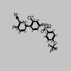 N#Cc1nc(-c2ccc(NS(=O)(=O)c3ccc(OC(F)(F)F)cc3)cc2Cl)ccc1F